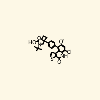 COc1cc(Cl)c2[nH]c(=O)c3sccc3c2c1-c1ccc(C2(CN(C(=O)O)C(C)(C)C)CCC2)cc1